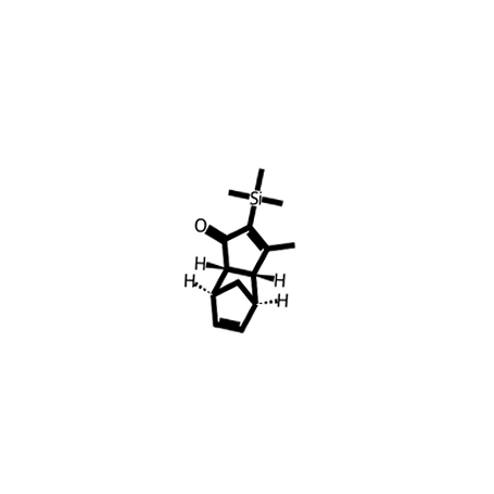 CC1=C([Si](C)(C)C)C(=O)[C@@H]2[C@H]1[C@H]1C=C[C@@H]2C1